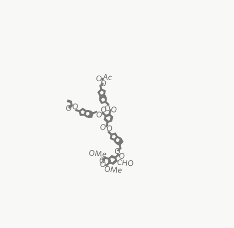 C=CC(=O)OCC1CC2C3CC(COC(=O)c4cc(C(=O)OCC5CC6C7CC(COC(=O)c8cc(C(=O)OC)c(C(=O)OC)cc8C=O)C(C7)C6C5)ccc4C(=O)OCC4CC5CC4C4CC(COC(=O)C(C)=O)CC54)C(C3)C2C1